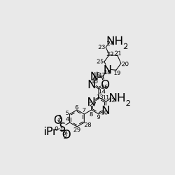 CC(C)S(=O)(=O)c1ccc(-c2cnc(N)c(-c3nnc(N4CCCC(CN)C4)o3)n2)cc1